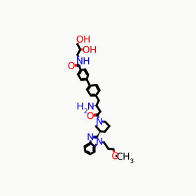 COCCCn1c([C@@H]2CCCN(C(=O)C[C@H](N)Cc3ccc(-c4ccc(C(=O)NCC(O)CO)cc4)cc3)C2)nc2ccccc21